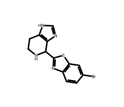 Brc1ccc2nc(C3NCCc4[nH]cnc43)sc2c1